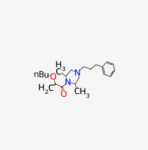 C=C(OCCCC)C(=O)N1C(C)CN(CCCc2ccccc2)CC1C